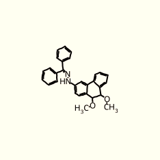 COC1c2ccccc2-c2cc(NN=C(c3ccccc3)c3ccccc3)ccc2C1OC